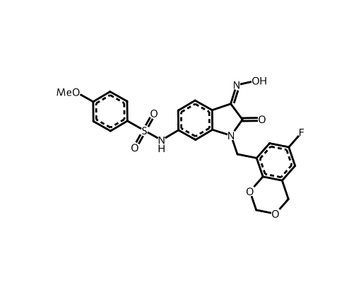 COc1ccc(S(=O)(=O)Nc2ccc3c(c2)N(Cc2cc(F)cc4c2OCOC4)C(=O)/C3=N\O)cc1